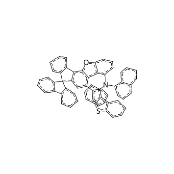 c1ccc(-c2cc3c(c4oc5cccc(N(c6cccc7ccccc67)c6cccc7sc8ccccc8c67)c5c24)-c2ccccc2C32c3ccccc3-c3ccccc32)cc1